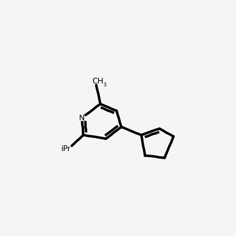 Cc1cc(C2=CCCC2)cc(C(C)C)n1